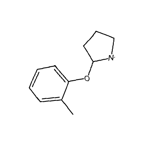 Cc1ccccc1OC1CCC[N]1